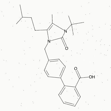 Cc1c(CCC(C)C)n(Cc2ccc(-c3ccccc3C(=O)O)cc2)c(=O)n1C(C)(C)C